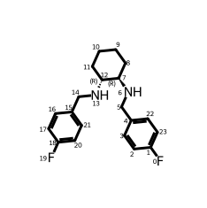 Fc1ccc(CN[C@@H]2CCCC[C@H]2NCc2ccc(F)cc2)cc1